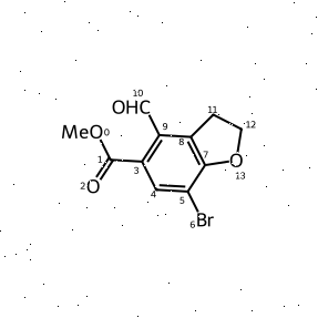 COC(=O)c1cc(Br)c2c(c1C=O)CCO2